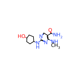 CNc1nc(NC2CCC(O)CC2)ncc1C(N)=O